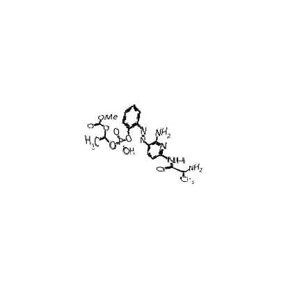 COC(=O)OC(C)OP(=O)(O)Oc1ccccc1/N=N/c1ccc(NC(=O)[C@H](C)N)nc1N